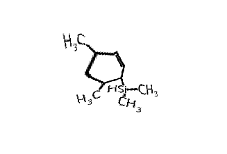 CC1C=CC([SiH](C)C)C(C)C1